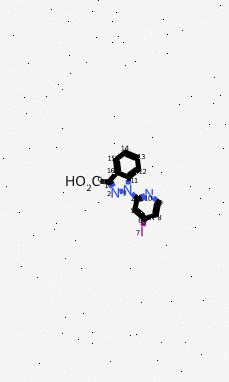 O=C(O)c1nn(-c2cc(I)ccn2)c2ccccc12